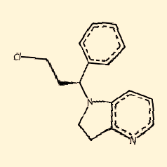 ClCC[C@@H](c1ccccc1)N1CCc2ncccc21